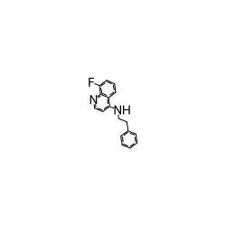 Fc1cccc2c(NCCc3ccccc3)ccnc12